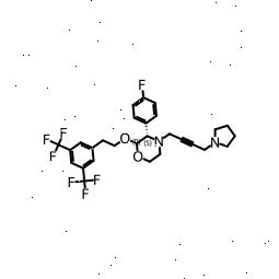 Fc1ccc([C@H]2[C@H](OCCc3cc(C(F)(F)F)cc(C(F)(F)F)c3)OCCN2CC#CCN2CCCC2)cc1